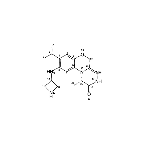 CC(C)c1cc2c(cc1NC1CNC1)N1C(=NNC(=O)[C@@H]1C)CO2